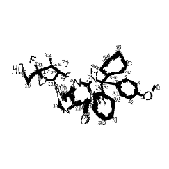 COc1ccc(C(Nc2nc3c(ncn3[C@H]3O[C@](F)(CO)[C@@H](C)[C@@]3(C)F)c(=O)[nH]2)(c2ccccc2)c2ccccc2)cc1